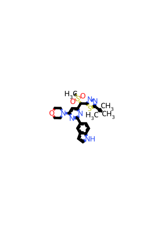 CC(C)(C)c1nnc(C(c2cc(N3CCOCC3)nc(-c3ccc4[nH]ccc4c3)n2)S(C)(=O)=O)s1